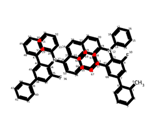 CC1CC=CC=C1c1cc(F)c(N(c2ccccc2)c2ccc3ccc4c(N(c5ccccc5)c5c(F)cc(-c6ccccc6)cc5-c5ccccc5)ccc5ccc2c3c54)c(-c2ccccc2)c1